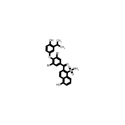 CC(C)c1cc(Oc2c(Br)cc(C(=O)c3ccc4c(O)cccc4c3S(N)(=O)=O)cc2Br)ccc1O